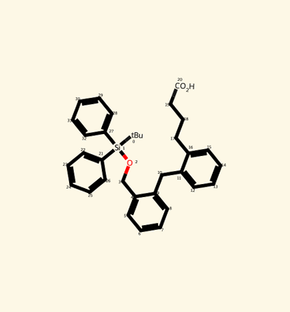 CC(C)(C)[Si](OCc1ccccc1Cc1ccccc1CCCC(=O)O)(c1ccccc1)c1ccccc1